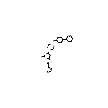 Nc1nc(N2CCN(Cc3ccc(-c4ccccc4)cc3)CC2)cc2nc(-c3ccco3)nn12